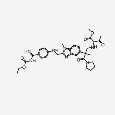 CCOC(=O)NC(=N)c1ccc(NCc2nc3cc(C(C)(CNC(C(C)=O)C(=O)OC)C(=O)N4CCCC4)ccc3n2C)cc1